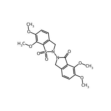 COc1ccc2c(c1OC)C(=O)N(N1Cc3ccc(OC)c(OC)c3S1(=O)=O)C2